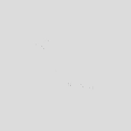 CN1CCN(C/C=C/c2ccc([N+](=O)[O-])cc2)CC1